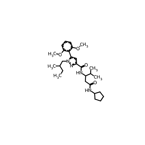 CCC(C)Cn1nc(C(=O)NC(CC(=O)NC2CCCC2)C(C)C)cc1-c1c(OC)cccc1OC